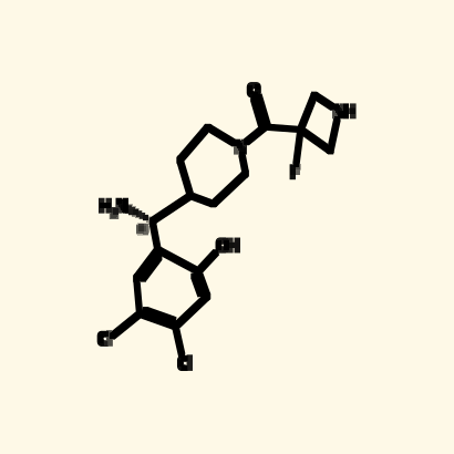 N[C@@H](c1cc(Cl)c(Cl)cc1O)C1CCN(C(=O)C2(F)CNC2)CC1